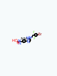 CNc1cc(-c2nccc(NCCc3c(F)cc(Br)cc3F)n2)ccc1-c1noc(O)n1